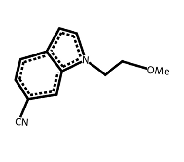 COCCn1ccc2ccc(C#N)cc21